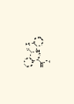 O=C(NO)c1ccccc1C(=O)Nc1ccccc1S